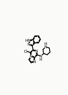 Clc1c(-c2n[nH]c3ccccc23)nc(NC2CCCNC2)c2nccn12